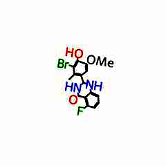 COc1cc(C2NC(=O)c3c(F)cccc3N2)c(C)c(Br)c1O